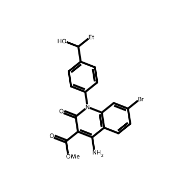 CCC(O)c1ccc(-n2c(=O)c(C(=O)OC)c(N)c3ccc(Br)cc32)cc1